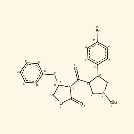 CC(C)(C)N1CC(C(=O)N2C(=O)OC[C@@H]2Cc2ccccc2)C(c2ccc(Br)cc2)C1